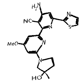 COc1cc(-c2nc(-c3nccs3)cc(N)c2C#N)nc(N2CC[C@](C)(O)C2)c1